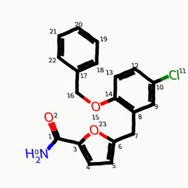 NC(=O)c1ccc(Cc2cc(Cl)ccc2OCc2ccccc2)o1